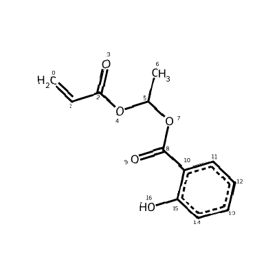 C=CC(=O)OC(C)OC(=O)c1ccccc1O